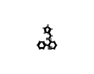 c1ccc(C2NCCCC2NCc2ccsc2)cc1